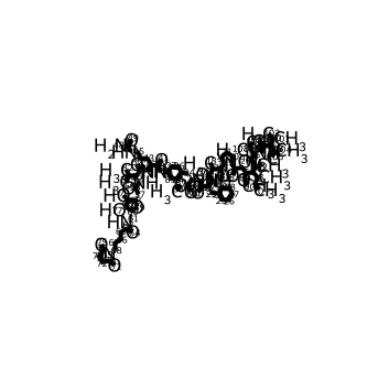 CCC(C)C(C(CC(=O)N1CCCC1C(OC)C(C)C(=O)N[C@@H](Cc1ccccc1)C(=O)N[C@@H](Cc1ccc(NC(=O)C(CCCNC(N)=O)NC(=O)[C@H](NC(=O)C[C@@H]2O[C@H](CNC(=O)CCCCN3C(=O)C=CC3=O)C(O)C2O)C(C)C)cc1)C(=O)OC)OC)N(C)C(=O)[C@@H](NC(=O)C(C(C)C)N(C)C)C(C)C